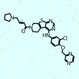 O=C(/C=C/CN1CCCC1)N1CCc2c(sc3ncnc(Nc4ccc(OCc5cnccn5)c(Cl)c4)c23)C1